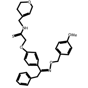 COc1ccc(CON=C(Cc2ccccc2)c2ccc(OCC(=S)NCC3=CCOCC3)cc2)cc1